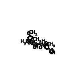 COc1cc(C)c(S(=O)(=O)Cc2nc(CC(=O)NC3CCC(c4ccncc4)CC3(C)C)no2)c(C)c1